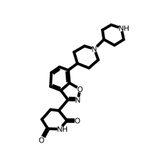 O=C1CCC(c2noc3c(C4CCN(C5CCNCC5)CC4)cccc23)C(=O)N1